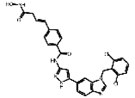 O=C(C/C=C/c1ccc(C(=O)Nc2cc(-c3ccc4ncn(Cc5c(Cl)cccc5Cl)c4c3)[nH]n2)cc1)NO